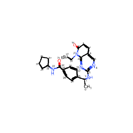 C[C@H](Nc1ncc2ccc(=O)n(CC(C)(C)C)c2n1)c1ccc(C(=O)NC2CCCC2)cc1